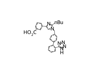 CCCCc1nc(-c2cccc(C(=O)O)c2)cn1Cc1ccc(-c2ccccc2-c2nnn[nH]2)cc1